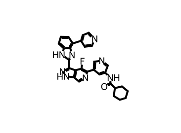 O=C(Nc1cncc(-c2ncc3[nH]nc(-c4nc5c(-c6ccncc6)cccc5[nH]4)c3c2F)c1)C1CCCCC1